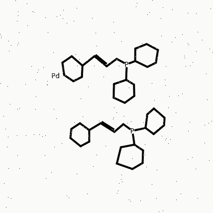 C(=CC1CCCCC1)CP(C1CCCCC1)C1CCCCC1.C(=CC1CCCCC1)CP(C1CCCCC1)C1CCCCC1.[Pd]